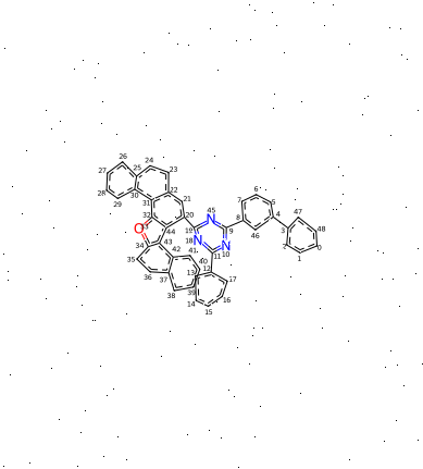 c1ccc(-c2cccc(-c3nc(-c4ccccc4)nc(-c4cc5ccc6ccccc6c5c5oc6ccc7ccccc7c6c45)n3)c2)cc1